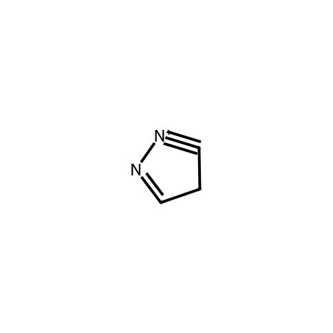 C1#[N+]N=CC1